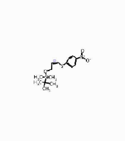 CC(C)(C)[Si](C)(C)OC/C=C\Sc1ccc([N+](=O)[O-])cc1